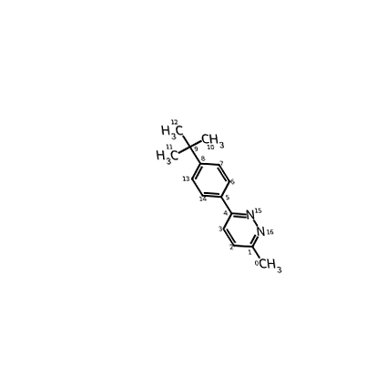 Cc1ccc(-c2ccc(C(C)(C)C)cc2)nn1